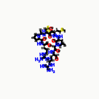 CSCC[C@H](NN[C@@H](CC(C)C)C(=O)NCC(=O)N[C@H](C=O)CCCNC(=N)N)C(=O)C(=O)[C@H](CS)NC(C)N1CCC[C@H]1C(=O)N[C@H](C=O)CCCNC(=N)N